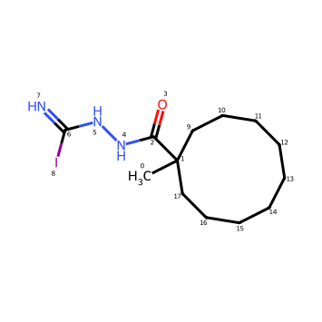 CC1(C(=O)NNC(=N)I)CCCCCCCCC1